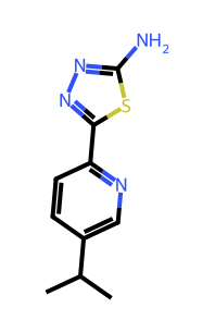 CC(C)c1ccc(-c2nnc(N)s2)nc1